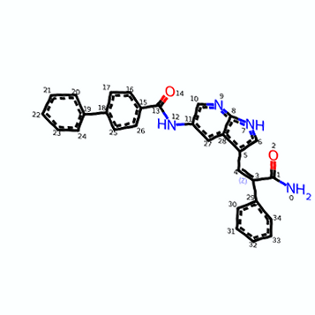 NC(=O)/C(=C\c1c[nH]c2ncc(NC(=O)c3ccc(-c4ccccc4)cc3)cc12)c1ccccc1